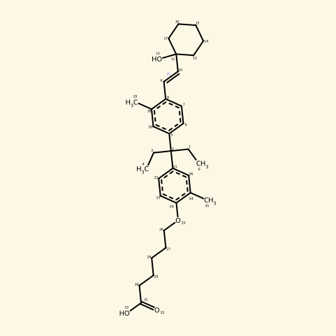 CCC(CC)(c1ccc(/C=C/C2(O)CCCCC2)c(C)c1)c1ccc(OCCCCCC(=O)O)c(C)c1